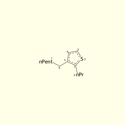 [CH2]CCc1sccc1CCCCCC